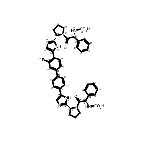 O=C(O)N[C@@H](C(=O)N1CCC[C@H]1c1ncc(-c2ccc(-c3ccc(-c4cnc([C@@H]5CCCN5C(=O)[C@H](NC(=O)O)c5ccccc5)[nH]4)c(F)c3)cc2)[nH]1)c1ccccc1